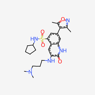 Cc1noc(C)c1-c1cc(S(=O)(=O)NC2CCCC2)c2cc(NCCCN(C)C)c(=O)[nH]c2c1